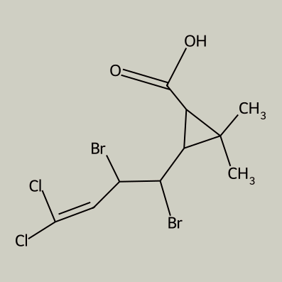 CC1(C)C(C(=O)O)C1C(Br)C(Br)C=C(Cl)Cl